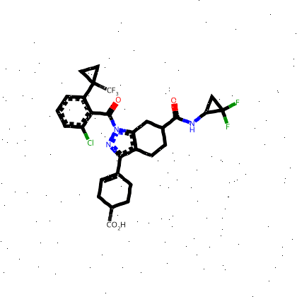 O=C(O)C1CC=C(c2nn(C(=O)c3c(Cl)cccc3C3(C(F)(F)F)CC3)c3c2CCC(C(=O)NC2CC2(F)F)C3)CC1